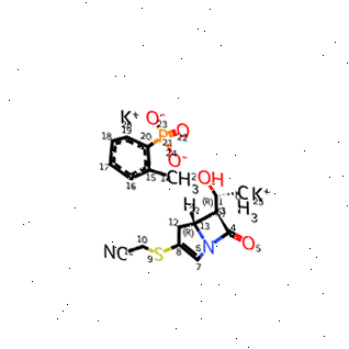 C[C@@H](O)[C@H]1C(=O)N2C=C(SCC#N)C[C@H]12.Cc1ccccc1P(=O)([O-])[O-].[K+].[K+]